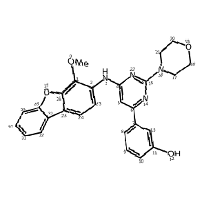 COc1c(Nc2cc(-c3cccc(O)c3)nc(N3CCOCC3)n2)ccc2c1oc1ccccc12